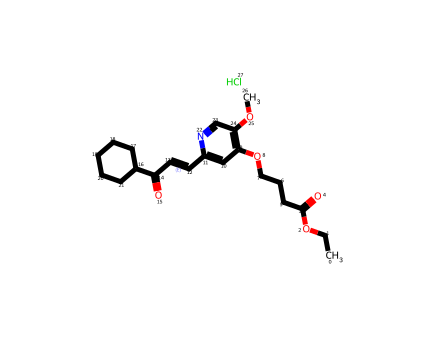 CCOC(=O)CCCOc1cc(/C=C/C(=O)C2CCCCC2)ncc1OC.Cl